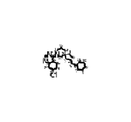 CCC1(CCCc2ccccc2)CCCN(c2ncnc3cc(Cl)ccc23)C1